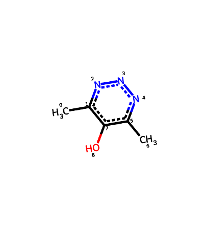 Cc1nnnc(C)c1O